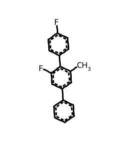 Cc1cc(-c2ccccc2)cc(F)c1-c1ccc(F)cc1